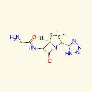 CC1(C)S[C@@H]2C(NC(=O)CN)C(=O)N2C1c1nnn[nH]1